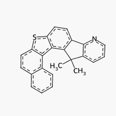 CC1(C)c2cccnc2-c2ccc3sc4ccc5ccccc5c4c3c21